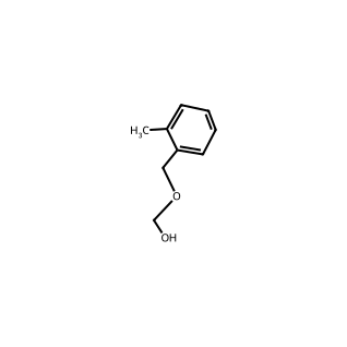 Cc1ccccc1COCO